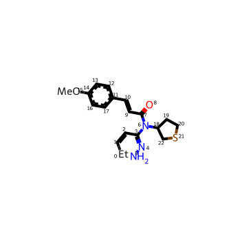 CC/C=C\C(=N/N)N(C(=O)/C=C/c1ccc(OC)cc1)C1CCSC1